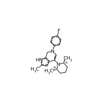 Cc1cc2c([nH]1)CN(c1ccc(F)cc1)C=C2N1[C@H](C)CCC[C@@H]1C